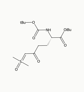 CC(C)COC(=O)[C@H](CCC(=O)C=S(C)(C)=O)NC(=O)OC(C)(C)C